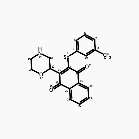 O=C1C([Se]c2cccc(C(F)(F)F)c2)=C(C2CNCCO2)C(=O)c2ccccc21